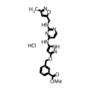 COC(=O)c1cccc(COc2cc(Nc3ccnc(NCc4cc(C)no4)n3)[nH]n2)c1.Cl